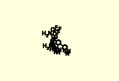 NC(CS(=O)(=O)c1ccc(-c2ccc3nncn3c2)c(-c2nnn[nH]2)c1S(N)(=O)=O)OC(=O)C(F)(F)F